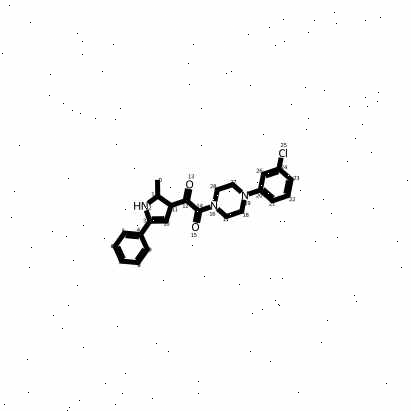 CC1NC(c2ccccc2)=CC1C(=O)C(=O)N1CCN(c2cccc(Cl)c2)CC1